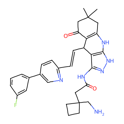 CC1(C)CC(=O)C2=C(C1)Nc1[nH]nc(NC(=O)CC3(CN)CCC3)c1C2/C=C/c1ccc(-c2cccc(F)c2)cn1